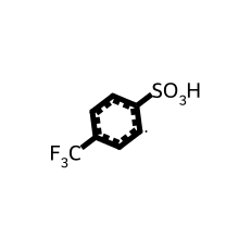 O=S(=O)(O)c1[c]cc(C(F)(F)F)cc1